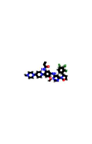 C=CC(=O)Nc1cc(Nc2cc(N3OCCC3c3ccc(F)c(Cl)c3F)ncn2)c(OC)cc1N1CCC(N2CCN(C)CC2)CC1